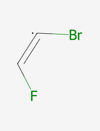 F/C=[C]\Br